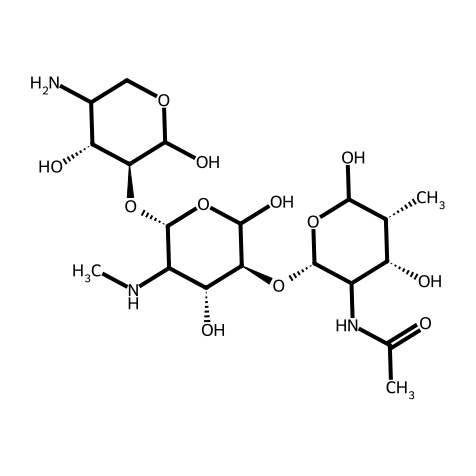 CNC1[C@H](O[C@@H]2C(O)OCC(N)[C@H]2O)OC(O)[C@@H](O[C@@H]2OC(O)[C@H](C)[C@H](O)C2NC(C)=O)[C@@H]1O